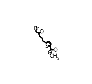 COC(=O)c1ccc(CCCC(=O)CBr)s1